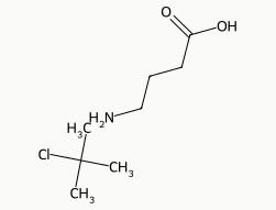 CC(C)(C)Cl.NCCCC(=O)O